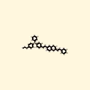 CCCc1ccc(N(c2ccccc2)c2ccc(/C=C/c3ccc4c(c3)CC=C(/C=C/c3ccccc3)C4)cc2)cc1